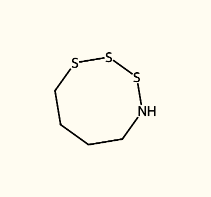 C1CCSSSNC1